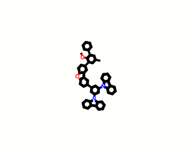 COc1c(-c2ccccc2)cc(C)cc1-c1ccc2oc3ccc(-c4cc(-n5c6ccccc6c6ccccc65)cc(-n5c6ccccc6c6ccccc65)c4)cc3c2c1